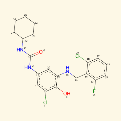 O=C(Nc1cc(Cl)c(O)c(NCc2c(F)cccc2Cl)c1)NC1CCCCC1